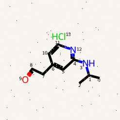 CC(C)Nc1cc(CC=O)ccn1.Cl